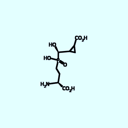 N[C@@H](CCP(=O)(O)[C@@H](O)C1CC1C(=O)O)C(=O)O